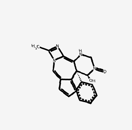 CC1=NC2=C3NC[N+](=O)[C@@H](O)[C@@]3(c3ccccc3)C3=CC=CC3=CN12